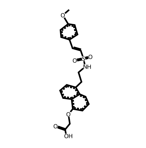 COc1ccc(C=CS(=O)(=O)NCCc2cccc3c(OCC(=O)O)cccc23)cc1